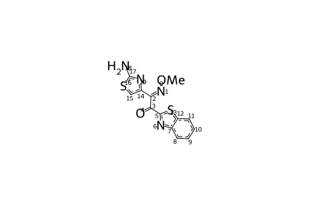 CON=C(C(=O)c1nc2ccccc2s1)c1csc(N)n1